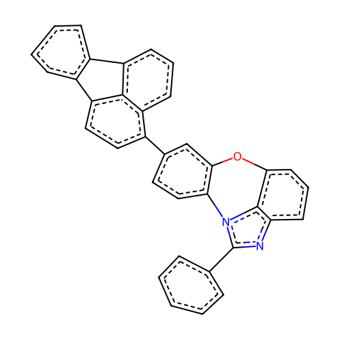 c1ccc(-c2nc3cccc4c3n2-c2ccc(-c3ccc5c6c(cccc36)-c3ccccc3-5)cc2O4)cc1